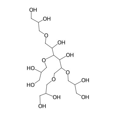 OCC(O)COCC(O)C(OCC(O)CO)C(O)C(COCC(O)CO)OCC(O)CO